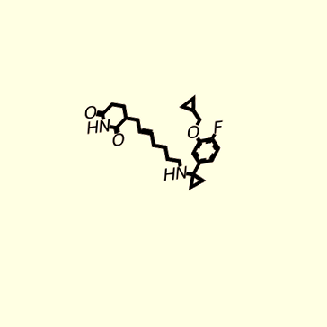 O=C1CCC(C/C=C/CCCCNC2(c3ccc(F)c(OCC4CC4)c3)CC2)C(=O)N1